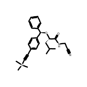 CC(C)C[C@H](O[C@H](c1ccccc1)c1ccc(C#C[Si](C)(C)C)cc1)C(=O)NCC#N